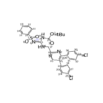 CC(C)(C)OC(=O)N/C(=N\S(=O)(=O)c1ccccc1)NCc1ncc(-c2ccc(Cl)cc2)c(-c2ccc(Cl)cc2)n1